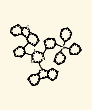 c1ccc([Si](c2ccccc2)(c2ccccc2)c2cccc(-c3nc(-c4ccccc4-c4cccc5oc6ccccc6c45)nc(-n4c5ccccc5c5ccccc54)n3)c2)cc1